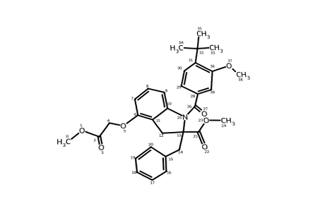 COC(=O)COc1cccc2c1CC(Cc1ccccc1)(C(=O)OC)N2C(=O)c1ccc(C(C)(C)C)c(OC)c1